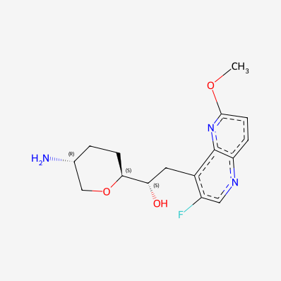 COc1ccc2ncc(F)c(C[C@H](O)[C@@H]3CC[C@@H](N)CO3)c2n1